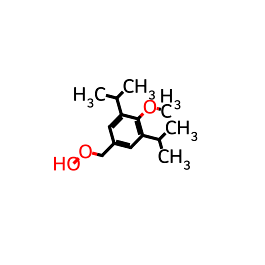 COc1c(C(C)C)cc(COO)cc1C(C)C